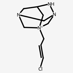 ClC=CC[N+]12CC3CN(CN(C1)N3)C2